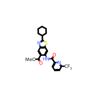 COC(=O)c1cc2nc(C3CCCCC3)sc2cc1NC(=O)c1cccc(C(F)(F)F)n1